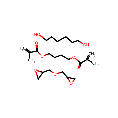 C(OCC1CO1)C1CO1.C=C(C)C(=O)OCCCCOC(=O)C(=C)C.OCCCCCCO